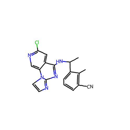 Cc1c(C#N)cccc1C(C)Nc1nc2nccn2c2cnc(Cl)cc12